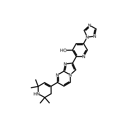 CC1(C)C=C(c2ccn3cc(-c4ncc(-n5cncn5)cc4O)nc3n2)CC(C)(C)N1